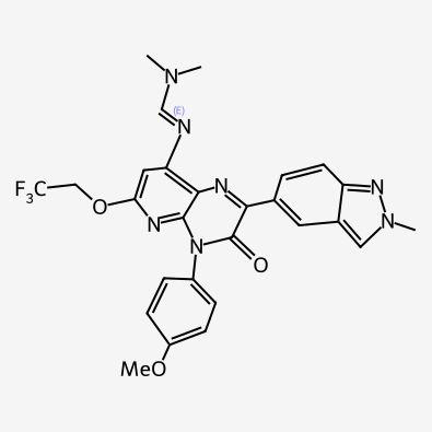 COc1ccc(-n2c(=O)c(-c3ccc4nn(C)cc4c3)nc3c(/N=C/N(C)C)cc(OCC(F)(F)F)nc32)cc1